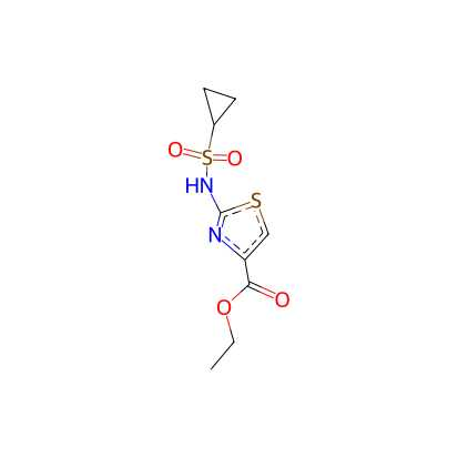 CCOC(=O)c1csc(NS(=O)(=O)C2CC2)n1